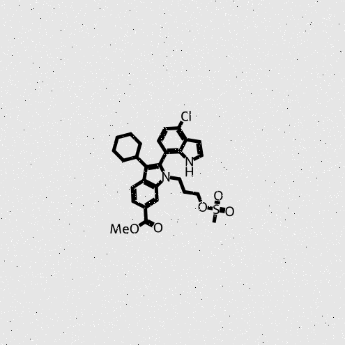 COC(=O)c1ccc2c(C3CCCCC3)c(-c3ccc(Cl)c4cc[nH]c34)n(CCCOS(C)(=O)=O)c2c1